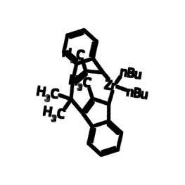 CCC[CH2][Zr]1([CH2]CCC)[CH]2C(C)=C(c3ccccc32)C(C)(C)C2=C(C)[CH]1c1ccccc12